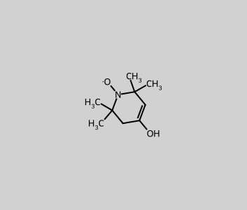 CC1(C)C=C(O)CC(C)(C)N1[O]